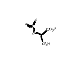 O=C(O)C(OP(=O)=O)C(=O)O